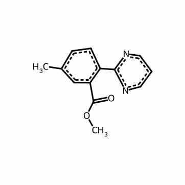 COC(=O)c1cc(C)ccc1-c1ncccn1